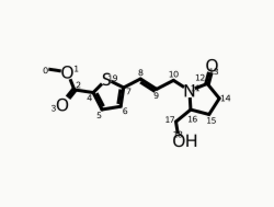 COC(=O)c1ccc(C=CCN2C(=O)CCC2CO)s1